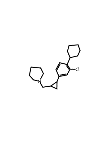 Clc1cc(C2CC2CN2CCCCC2)ccc1C1CCCCC1